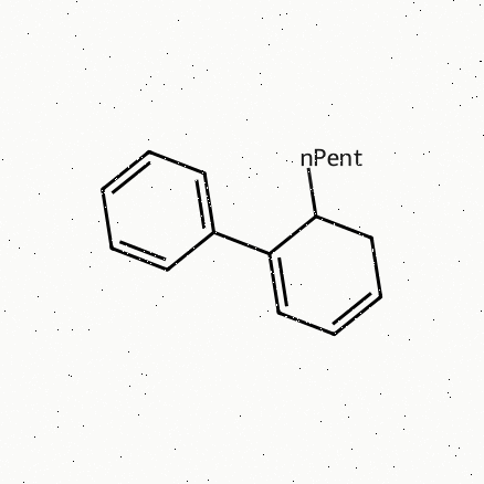 CCCCCC1CC=CC=C1c1ccccc1